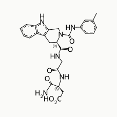 Cc1cccc(NC(=O)N2Cc3[nH]c4ccccc4c3C[C@@H]2C(=O)NCC(=O)N[C@@H](CC(=O)O)C(N)=O)c1